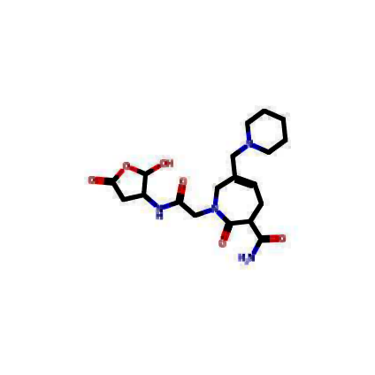 NC(=O)C1CC=C(CN2CCCCC2)CN(CC(=O)NC2CC(=O)OC2O)C1=O